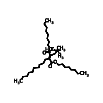 CCCCCCCCCCC(C(=O)OCCCCCCCC)=C(CC(C)(C)C)C(=O)OCCCCCCCC